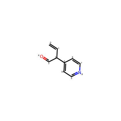 C=CC(C=O)c1ccncc1